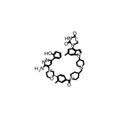 Cc1cc(N2CCC(=O)NC2=O)c2ccn(C3CCN(CC4CCN(C(=O)c5ccc([C@@H]6CN(c7cc(-c8ccccc8O)nnc7N)CCO6)c(C)c5)CC4)CC3)c2c1